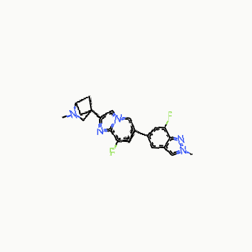 CN1CC2(c3cn4cc(-c5cc(F)c6nn(C)cc6c5)cc(F)c4n3)CC1C2